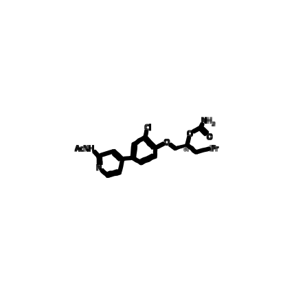 CC(=O)Nc1cc(-c2ccc(OC[C@H](CC(C)C)OC(N)=O)c(Cl)c2)ccn1